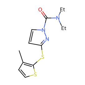 CCN(CC)C(=O)n1ccc(Sc2sccc2C)n1